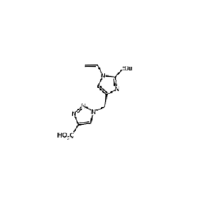 C=Cn1cc(Cn2cc(C(=O)O)nn2)nc1C(C)(C)C